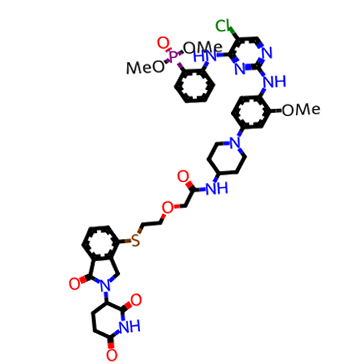 COc1cc(N2CCC(NC(=O)COCCSc3cccc4c3CN(C3CCC(=O)NC3=O)C4=O)CC2)ccc1Nc1ncc(Cl)c(Nc2ccccc2P(=O)(OC)OC)n1